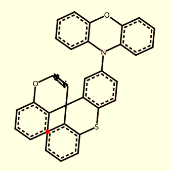 c1ccc2c(c1)Oc1ccccc1N2c1ccc2c(c1)C1(c3ccccc3Oc3ccccc31)c1ccccc1S2